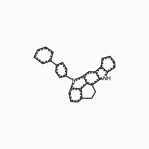 c1ccc(-c2ccc(-n3c4cccc5c4c4c(c6[nH]c7ccccc7c6cc43)CC5)cc2)cc1